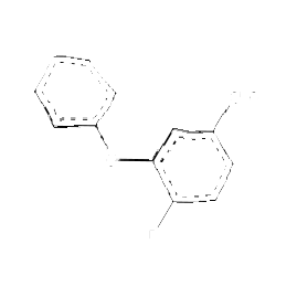 O=[C]c1ccc(F)c(Oc2ccccc2)c1